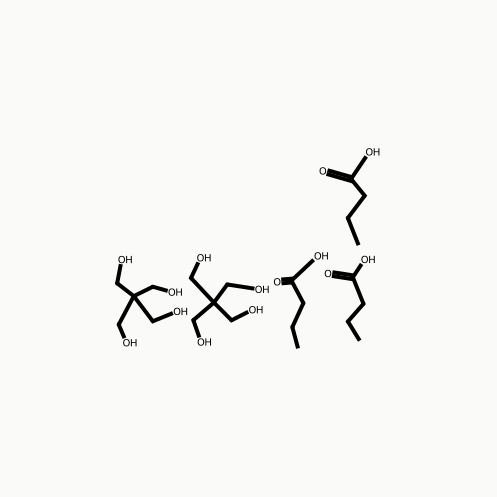 CCCC(=O)O.CCCC(=O)O.CCCC(=O)O.OCC(CO)(CO)CO.OCC(CO)(CO)CO